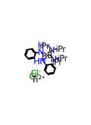 CC(C)N(B(B(Nc1ccccc1)Nc1ccccc1)N(C(C)C)C(C)C)C(C)C.[Cl-].[Cl-].[Ti+2]